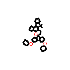 CC1(C)c2ccccc2-c2c1c1c(c3ccccc23)OC(c2ccc(Oc3ccccc3)cc2)(c2ccc(Oc3ccccc3)cc2)C=C1